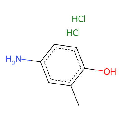 Cc1cc(N)ccc1O.Cl.Cl